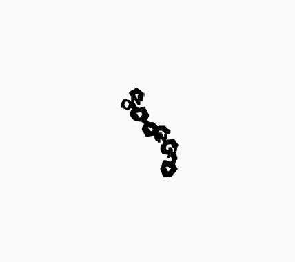 O=C(c1ccc(-c2ccc3c(c2)CCN(C2CCN(Cc4ccccc4)CC2)C3)cc1)N1CCCC1